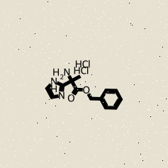 CC(N)(C(=O)OCc1ccccc1)c1ncc[nH]1.Cl.Cl